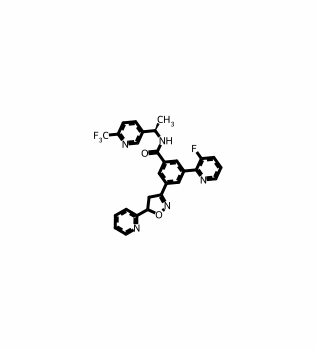 C[C@@H](NC(=O)c1cc(C2=NOC(c3ccccn3)C2)cc(-c2ncccc2F)c1)c1ccc(C(F)(F)F)nc1